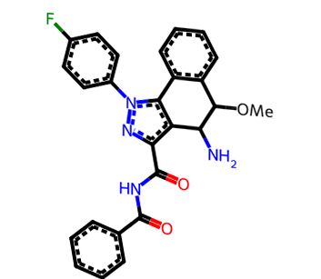 COC1c2ccccc2-c2c(c(C(=O)NC(=O)c3ccccc3)nn2-c2ccc(F)cc2)C1N